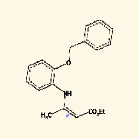 CCOC(=O)/C=C(/C)Nc1ccccc1OCc1ccccc1